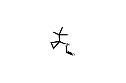 CC(C)(C)C1(N[C]=O)CC1